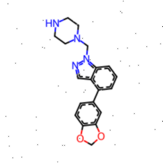 c1cc(-c2ccc3c(c2)OCO3)c2cnn(CN3CCNCC3)c2c1